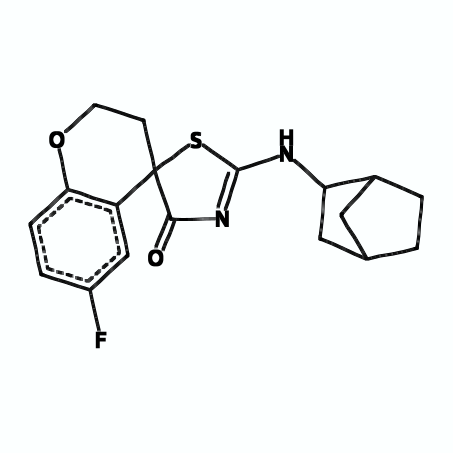 O=C1N=C(NC2CC3CCC2C3)SC12CCOc1ccc(F)cc12